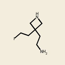 NCCC1(CCI)CNC1